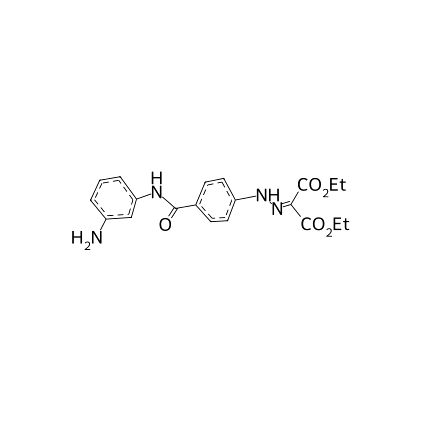 CCOC(=O)C(=NNc1ccc(C(=O)Nc2cccc(N)c2)cc1)C(=O)OCC